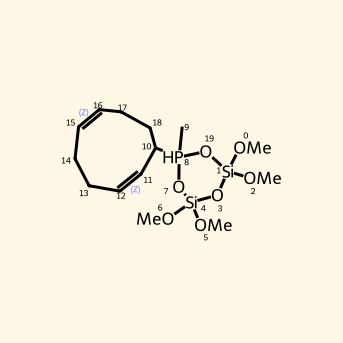 CO[Si]1(OC)O[Si](OC)(OC)O[PH](C)(C2/C=C\CC/C=C\CC2)O1